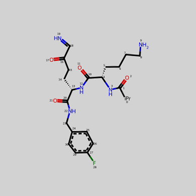 CC(C)C(=O)N[C@@H](CCCCN)C(=O)N[C@@H](CCC(=O)C=N)C(=O)NCc1ccc(F)cc1